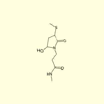 CNC(=O)CCN1C(=O)C(SC)CC1O